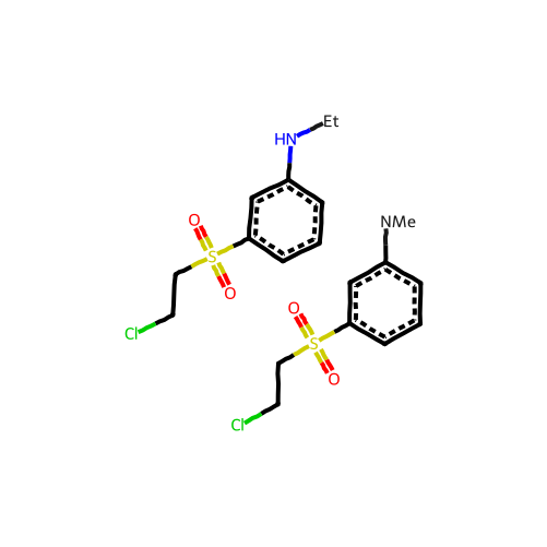 CCNc1cccc(S(=O)(=O)CCCl)c1.CNc1cccc(S(=O)(=O)CCCl)c1